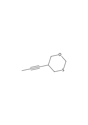 CC#CC1COCSC1